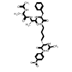 CC(=O)N[C@@H](C)C(=O)N[C@@H](C)C(=O)N[C@@H](Cc1ccccc1)C(=O)NCCCC[C@H](NC(C)=O)C(=O)Nc1ccc([N+](=O)[O-])cc1